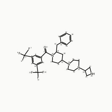 O=C(c1cc(C(F)(F)F)cc(C(F)(F)F)c1)N1CCC(N2CCN(C3CNC3)CC2)CC1Cc1ccccc1